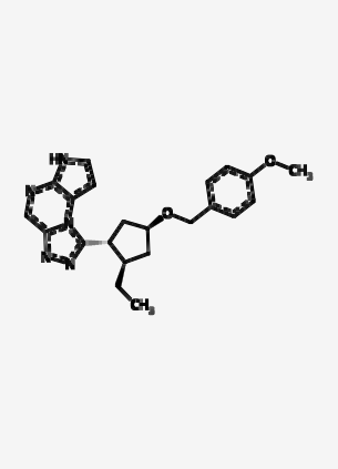 CC[C@@H]1C[C@H](OCc2ccc(OC)cc2)C[C@H]1c1nnc2cnc3[nH]ccc3n12